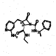 CCNC(=O)[C@@H]1[C@@H](Cc2ccnc(N)c2)C(=O)N1C(=O)N[C@H](C)c1ccccc1